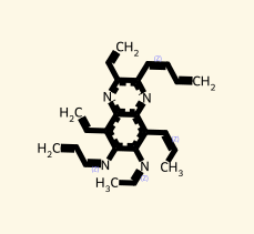 C=C/C=C\c1nc2c(/C=C\C)c(/N=C\C)c(/N=C\C=C)c(C=C)c2nc1C=C